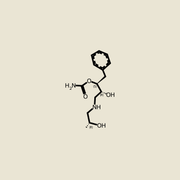 C[C@@H](O)CNC[C@@H](O)[C@H](Cc1ccccc1)OC(N)=O